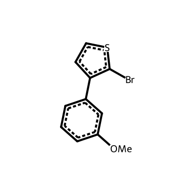 COc1cccc(-c2ccsc2Br)c1